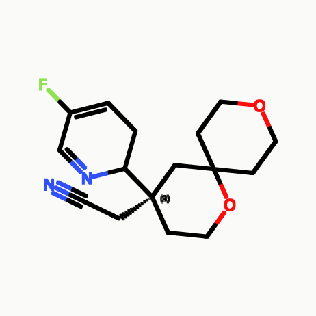 N#CC[C@@]1(C2CC=C(F)C=N2)CCOC2(CCOCC2)C1